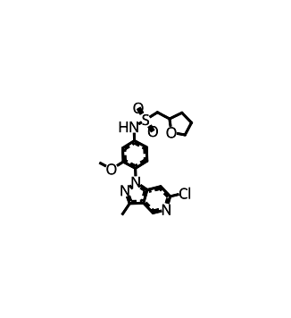 COc1cc(NS(=O)(=O)CC2CCCO2)ccc1-n1nc(C)c2cnc(Cl)cc21